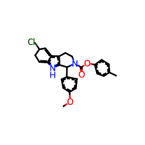 COc1ccc(C2c3[nH]c4c(c3CCN2C(=O)Oc2ccc(C)cc2)=CC(Cl)CC=4)cc1